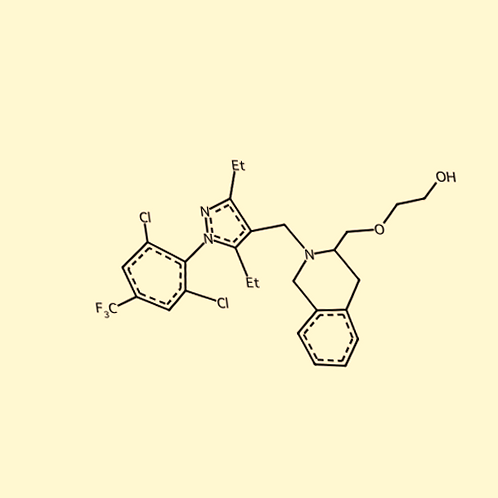 CCc1nn(-c2c(Cl)cc(C(F)(F)F)cc2Cl)c(CC)c1CN1Cc2ccccc2CC1COCCO